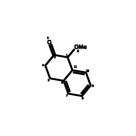 COC1C(=O)CCc2ccccc21